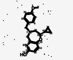 COc1ccc(CN2Cc3nc(O)ccc3O[C@H](C3CC3)C2)cc1